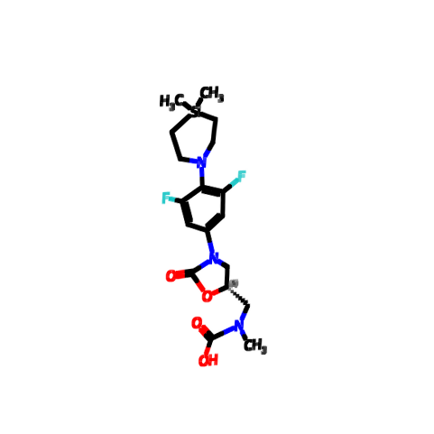 CN(C[C@H]1CN(c2cc(F)c(N3CC[Si](C)(C)CC3)c(F)c2)C(=O)O1)C(=O)O